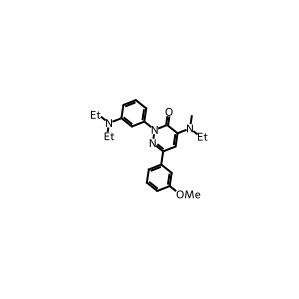 CCN(C)c1cc(-c2cccc(OC)c2)nn(-c2cccc(N(CC)CC)c2)c1=O